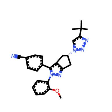 COc1ccccc1-n1nc2c(c1-c1ccc(C#N)cc1)C[C@H](n1cc(C(C)(C)C)nn1)C2